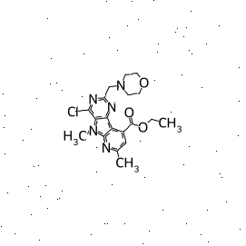 CCOC(=O)c1cc(C)nc2c1c1nc(CN3CCOCC3)nc(Cl)c1n2C